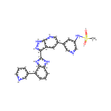 CS(=O)(=O)Nc1cncc(-c2cnc3[nH]nc(-c4nc5c(-c6cccnc6)cccc5[nH]4)c3c2)c1